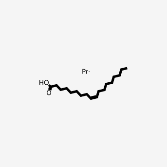 CCCCCCCC/C=C\CCCCCCCC(=O)O.[Pr]